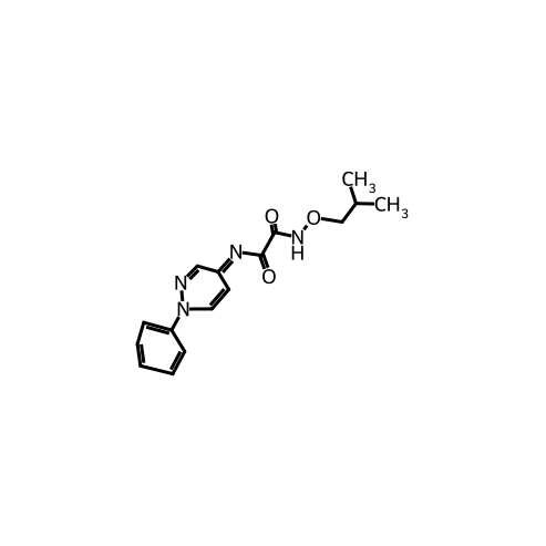 CC(C)CONC(=O)C(=O)/N=c1\ccn(-c2ccccc2)nc1